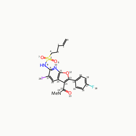 C=CCCCS(=O)(=O)Nc1nc2oc(-c3ccc(F)cc3)c(C(=O)NC)c2cc1I